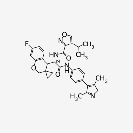 CC1=NCC(C)=C1c1ccc(NC(=O)[C@@H](NC(=O)c2nocc2C(C)C)C2c3ccc(F)cc3OCC23CC3)cc1